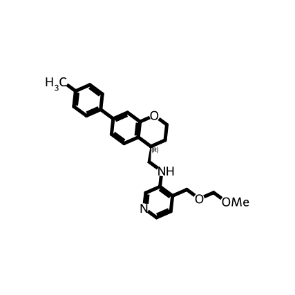 COCOCc1ccncc1NC[C@@H]1CCOc2cc(-c3ccc(C)cc3)ccc21